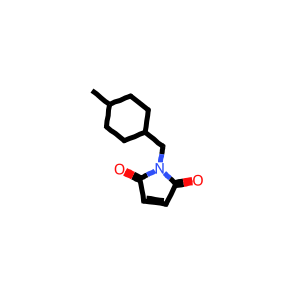 CC1CCC(CN2C(=O)C=CC2=O)CC1